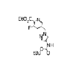 CCOC(=O)c1ncc(Cn2cc(NC(=O)OC(C)(C)C)cn2)cc1F